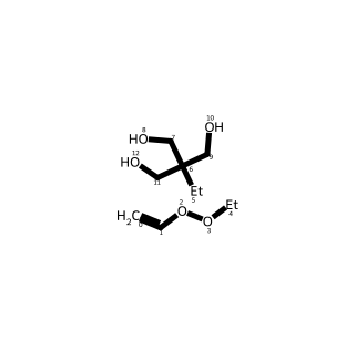 C=COOCC.CCC(CO)(CO)CO